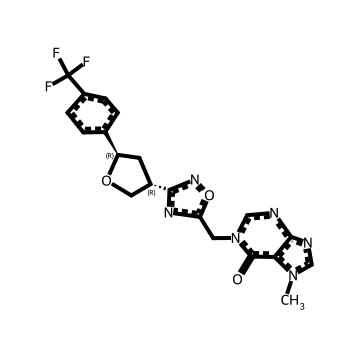 Cn1cnc2ncn(Cc3nc([C@@H]4CO[C@@H](c5ccc(C(F)(F)F)cc5)C4)no3)c(=O)c21